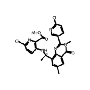 COC(=O)c1nc(Cl)ccc1N[C@H](C)c1cc(C)cc2c(=O)n(C)c(-c3ccc(Cl)nc3)nc12